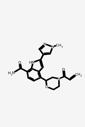 C=CC(=O)N1CCOC(c2ccc(C(N)=O)c3[nH]c(-c4cnn(C)c4)cc23)C1